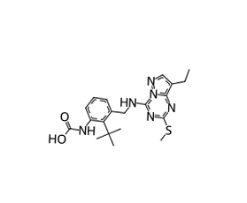 CCc1cnn2c(NCc3cccc(NC(=O)O)c3C(C)(C)C)nc(SC)nc12